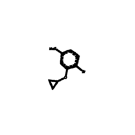 CSc1ccc(Br)c(OC2CC2)c1